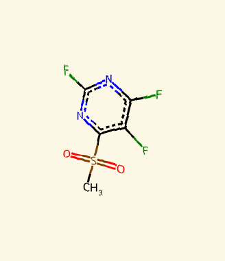 CS(=O)(=O)c1nc(F)nc(F)c1F